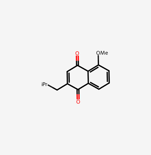 COc1cccc2c1C(=O)C=C(CC(C)C)C2=O